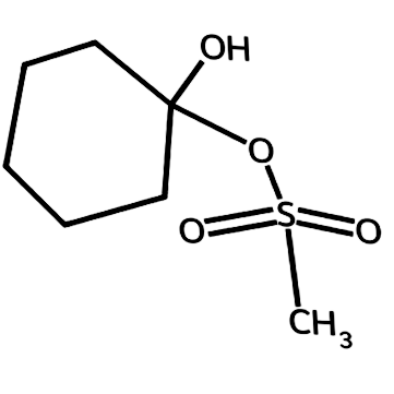 CS(=O)(=O)OC1(O)CCCCC1